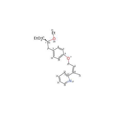 CCOC(=O)[C@H](Cc1ccc(OCC=C(C)c2ccccn2)cc1)OCC